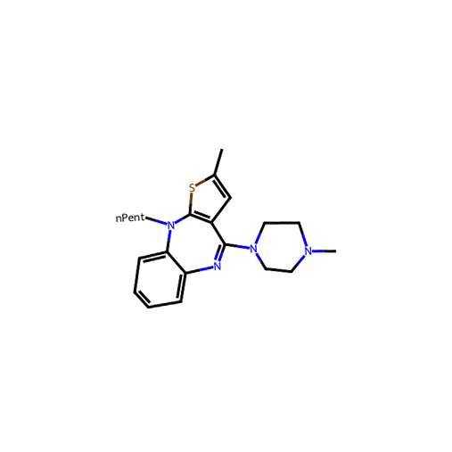 CCCCCN1c2ccccc2N=C(N2CCN(C)CC2)c2cc(C)sc21